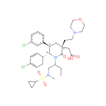 CCC(CN(C)S(=O)(=O)C1CC1)N1C(=O)[C@@](CCN2CCOCC2)(CC(=O)O)C[C@H](c2cccc(Cl)c2)[C@H]1C1C=CC(Cl)=CC1